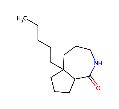 CCCCCC12CCCNC(=O)C1CCC2